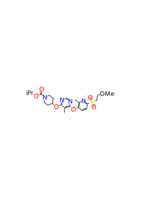 COCCS(=O)(=O)c1ccc(Oc2ncnc(OC3CCN(C(=O)OC(C)C)CC3)c2C)c(C)n1